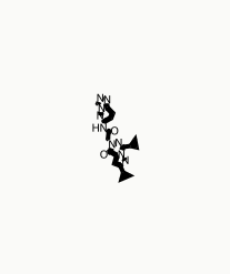 O=C(Cn1nc(C2CC2)n2nc(C3CC3)cc2c1=O)Nc1ccc2nncn2n1